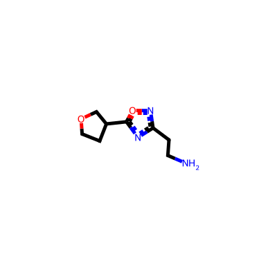 NCCc1noc(C2CCOC2)n1